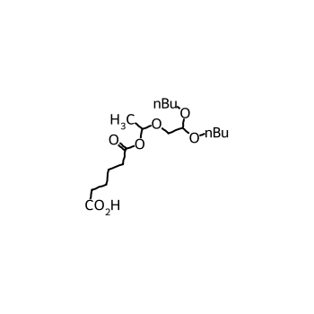 CCCCOC(COC(C)OC(=O)CCCCC(=O)O)OCCCC